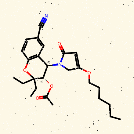 CCCCCCOC1=CC(=O)N([C@@H]2c3cc(C#N)ccc3OC(CC)(CC)[C@H]2OC(C)=O)C1